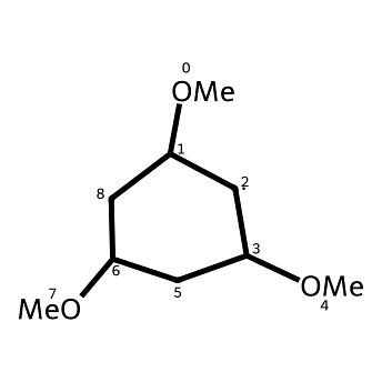 COC1[CH]C(OC)CC(OC)C1